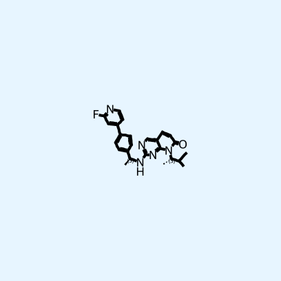 CC(C)[C@H](C)n1c(=O)ccc2cnc(N[C@@H](C)c3ccc(-c4ccnc(F)c4)cc3)nc21